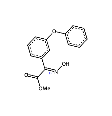 COC(=O)/C(=N/O)c1cccc(Oc2ccccc2)c1